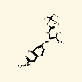 CC(C)[C@H](COc1ccc(CC(=O)NN)c(F)c1)NC(=O)OC(C)(C)C